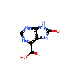 O=C(O)c1ncnc2[nH]c(=O)[nH]c12